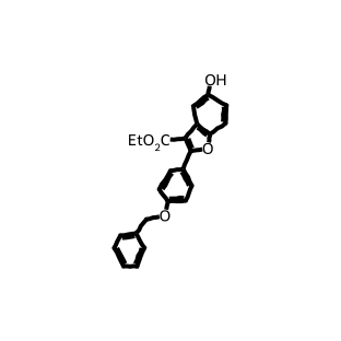 CCOC(=O)c1c(-c2ccc(OCc3ccccc3)cc2)oc2ccc(O)cc12